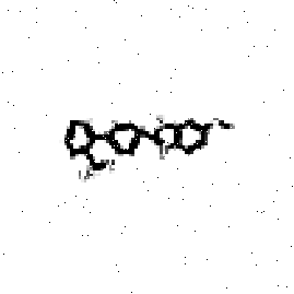 COc1ccc2nc(-c3ccc(-c4ccccc4C(N)=O)cc3)sc2c1